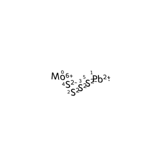 [Mo+6].[Pb+2].[S-2].[S-2].[S-2].[S-2]